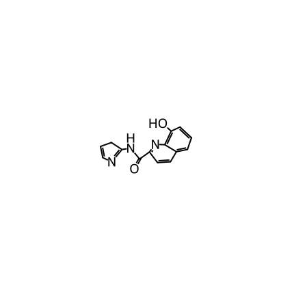 O=C(NC1=NC=CC1)c1ccc2cccc(O)c2n1